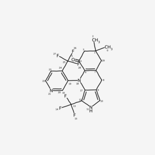 CC1(C)CC(=O)C2=C(Cc3c[nH]c(C(F)(F)F)c3N2c2cnccc2C(F)(F)F)C1